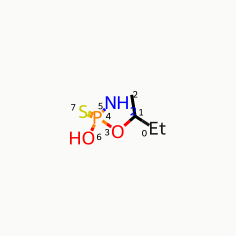 CCC(C)OP(N)(O)=S